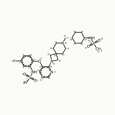 CC(C)S(=O)(=O)Nc1cc(F)ccc1Oc1cncnc1N1CC2(CCN(C[C@H]3CC[C@H](NS(C)(=O)=O)CC3)CC2)C1